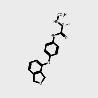 C[C@@H](NC(=O)O)C(=O)Nc1ccc(Oc2cccc3c2COC3)cc1